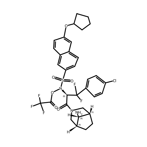 N[C@H]1[C@@H]2CC[C@H]1CN(C(=O)[C@@H](N(OC(=O)C(F)(F)F)S(=O)(=O)c1ccc3cc(OC4CCCC4)ccc3c1)C(F)(F)c1ccc(Cl)cc1)C2